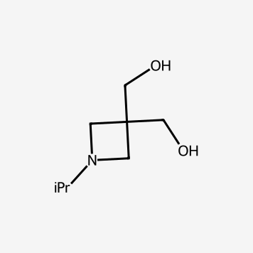 CC(C)N1CC(CO)(CO)C1